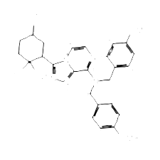 COc1ccc(CN(Cc2ccc(OC)cc2)c2nccn3c(C4CC(C(F)(F)F)CCC4(F)F)nnc23)cc1